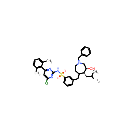 Cc1cccc(C)c1-c1cc(Cl)nc(NS(=O)(=O)c2cccc(CC3CCN(Cc4ccccc4)C[C@H](O)[C@H]3CC(C)C)c2)n1